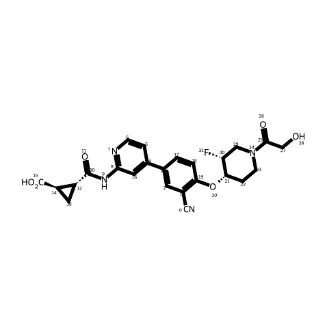 N#Cc1cc(-c2ccnc(NC(=O)[C@@H]3C[C@H]3C(=O)O)c2)ccc1O[C@H]1CCN(C(=O)CO)C[C@H]1F